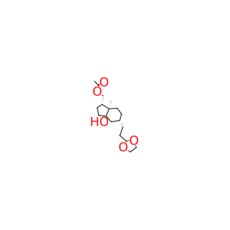 CC(=O)OC[C@H]1CC[C@]2(O)C[C@@H](CCC3OCCO3)CC[C@]12C